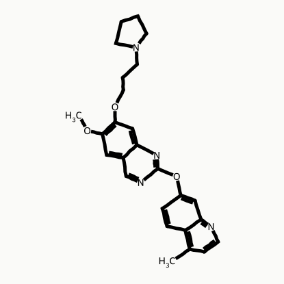 COc1cc2cnc(Oc3ccc4c(C)ccnc4c3)nc2cc1OCCCN1CCCC1